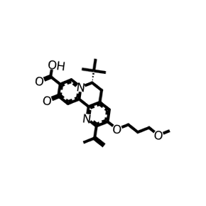 C=C(C)c1nc2c(cc1OCCCOC)C[C@@H](C(C)(C)C)n1cc(C(=O)O)c(=O)cc1-2